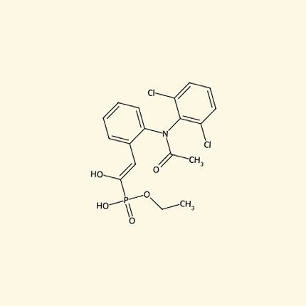 CCOP(=O)(O)C(O)=Cc1ccccc1N(C(C)=O)c1c(Cl)cccc1Cl